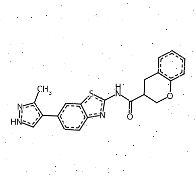 Cc1n[nH]cc1-c1ccc2nc(NC(=O)C3COc4ccccc4C3)sc2c1